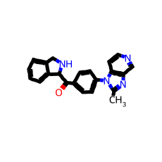 Cc1nc2cnccc2n1-c1ccc(C(=O)C2NCc3ccccc32)cc1